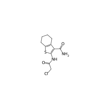 NC(=O)c1c(NC(=O)CCl)sc2c1CCCC2